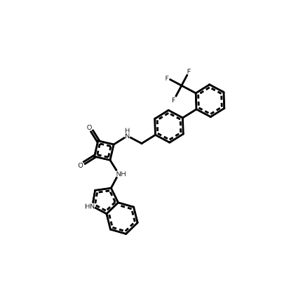 O=c1c(NCc2ccc(-c3ccccc3C(F)(F)F)cc2)c(Nc2c[nH]c3ccccc23)c1=O